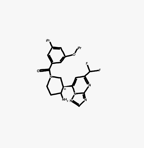 CC(C)Oc1cc(C(=O)N2CCC(N)[C@H](c3cc(C(F)F)nc4ncnn34)C2)cc(C(C)C)c1